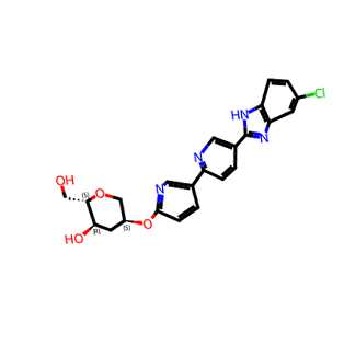 OC[C@@H]1OC[C@@H](Oc2ccc(-c3ccc(-c4nc5cc(Cl)ccc5[nH]4)cn3)cn2)C[C@H]1O